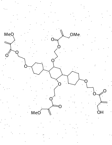 C=C(CO)C(=O)OCCOC1CCC(C2CC(OCCOC(=O)C(=C)COC)C(C3CCC(OCCOC(=O)C(=C)COC)CC3)CC2OCCOC(=O)C(=C)COC)CC1